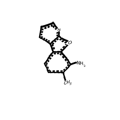 Cc1ccc2c(oc3ncccc32)c1N